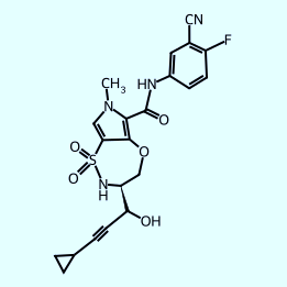 Cn1cc2c(c1C(=O)Nc1ccc(F)c(C#N)c1)OC[C@@H](C(O)C#CC1CC1)NS2(=O)=O